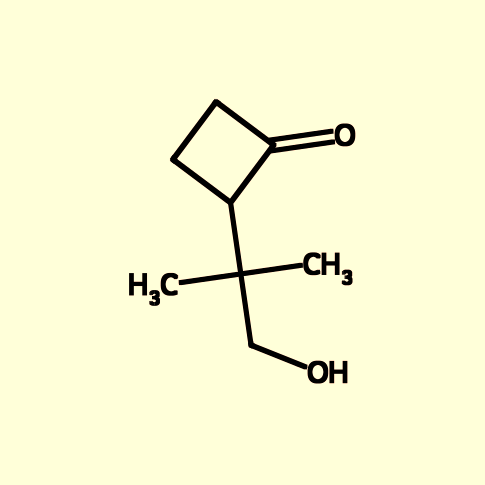 CC(C)(CO)C1CCC1=O